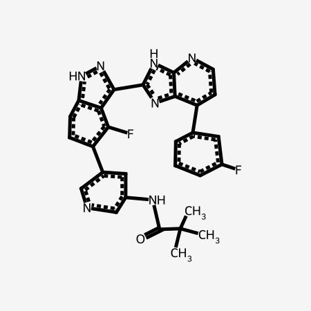 CC(C)(C)C(=O)Nc1cncc(-c2ccc3[nH]nc(-c4nc5c(-c6cccc(F)c6)ccnc5[nH]4)c3c2F)c1